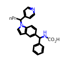 CCCC(c1ccncc1)n1ccc2cc(C(NC(=O)O)c3ccccc3)ccc21